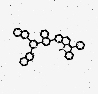 CN1c2ccccc2C(c2ccccc2)=C2C=Cc3ccc(-c4ccc(-c5cc(-c6ccc7ccccc7c6)cc(-c6ccc7ccccc7c6)n5)c5ccccc45)nc3C21